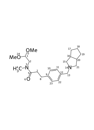 COC(CN(C)C(=O)CCc1ccc(CN2CC3CCCC3C2)cc1)OC